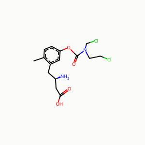 Cc1ccc(OC(=O)N(CCl)CCCl)cc1C[C@@H](N)CC(=O)O